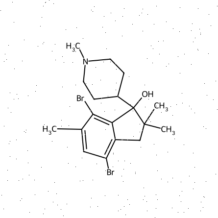 Cc1cc(Br)c2c(c1Br)C(O)(C1CCN(C)CC1)C(C)(C)C2